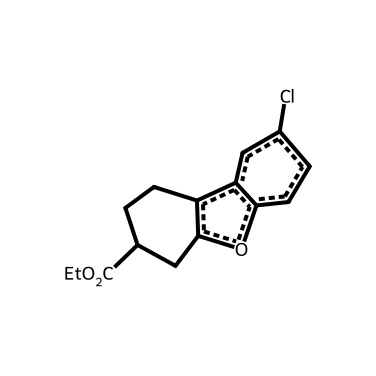 CCOC(=O)C1CCc2c(oc3ccc(Cl)cc23)C1